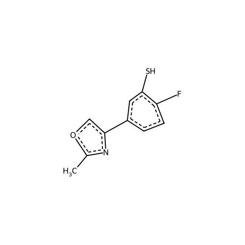 Cc1nc(-c2ccc(F)c(S)c2)co1